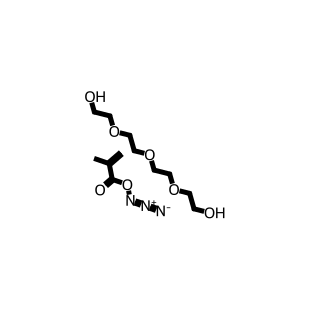 C=C(C)C(=O)ON=[N+]=[N-].OCCOCCOCCOCCO